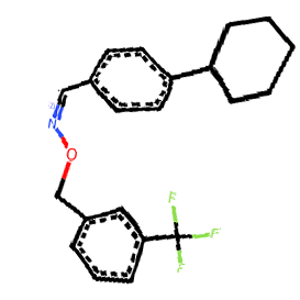 FC(F)(F)c1cccc(CO/N=[C]\c2ccc(C3CCCCC3)cc2)c1